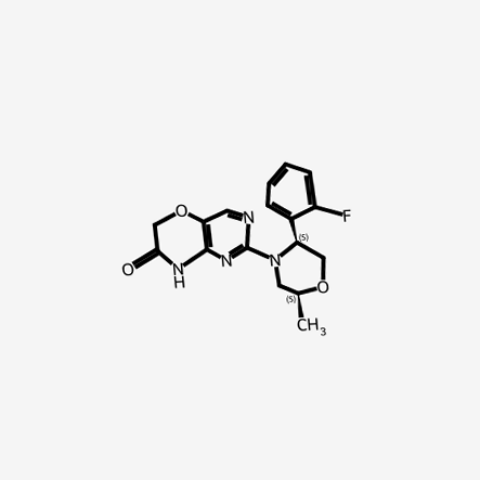 C[C@H]1CN(c2ncc3c(n2)NC(=O)CO3)[C@@H](c2ccccc2F)CO1